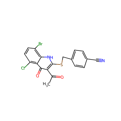 CC(=O)c1c(SCc2ccc(C#N)cc2)[nH]c2c(Br)ccc(Cl)c2c1=O